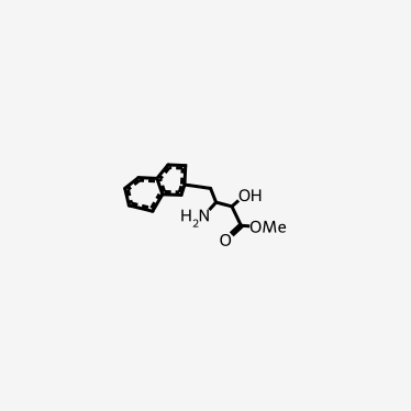 COC(=O)C(O)C(N)Cc1ccc2ccccc2c1